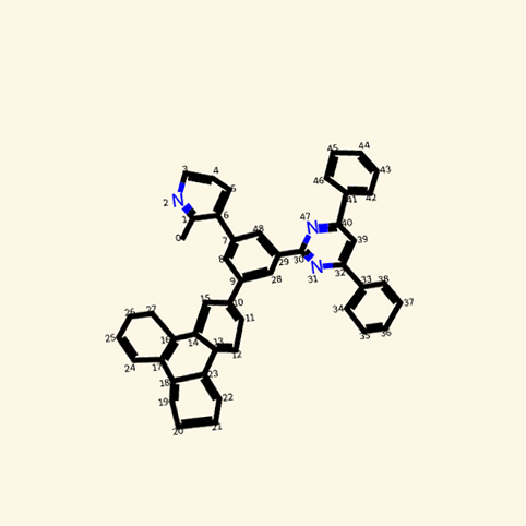 Cc1ncccc1-c1cc(-c2ccc3c(c2)c2c(c4ccccc43)C=CCC2)cc(-c2nc(-c3ccccc3)cc(-c3ccccc3)n2)c1